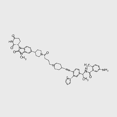 Cc1ccc(N)cc1C(=O)NC(C)c1ccc(C#CC2CCN(CCCC(=O)N3CCC(c4ccc5c(c4)n(C)c(=O)n5C4CCC(=O)NC4=O)CC3)CC2)c(-c2cccs2)c1